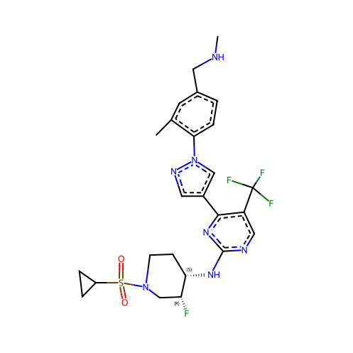 CNCc1ccc(-n2cc(-c3nc(N[C@H]4CCN(S(=O)(=O)C5CC5)C[C@H]4F)ncc3C(F)(F)F)cn2)c(C)c1